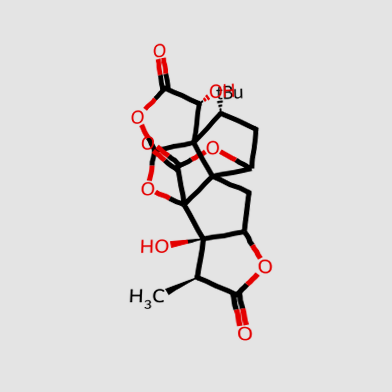 C[C@@H]1C(=O)OC2CC34C5C[C@@H](C(C)(C)C)C36C(OC(=O)[C@@H]6O)OC4(C(=O)O5)[C@]21O